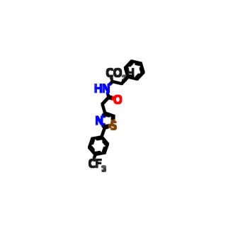 O=C(Cc1csc(-c2ccc(C(F)(F)F)cc2)n1)N[C@H](Cc1ccccc1)C(=O)O